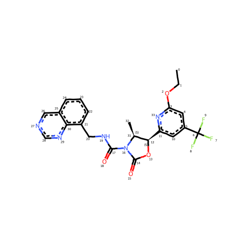 CCOc1cc(C(F)(F)F)cc([C@H]2OC(=O)N(C(=O)NCc3cccc4cncnc34)[C@H]2C)n1